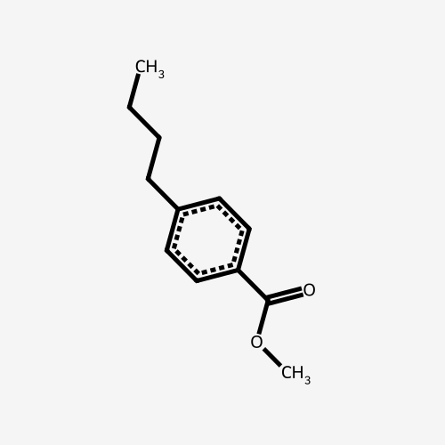 CCCCc1ccc(C(=O)OC)cc1